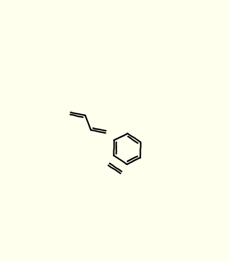 C=C.C=CC=C.c1ccccc1